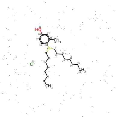 CCCCCCCC[S+](CCCCCCCC)c1ccc(O)cc1C.[Cl-]